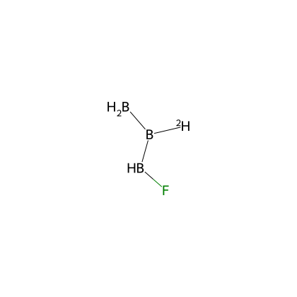 [2H]B(B)BF